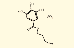 CCCCCCCCCCCCOC(=O)c1cc(O)c(O)c(O)c1.[AlH3]